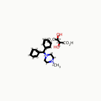 CN1CCN(C(c2ccccc2)c2ccccc2)CC1.O=C(O)C(O)C(O)C(=O)O